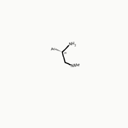 CNC[C@@H](N)C(C)=O